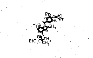 CCOC(=O)C(C)(C)C(=O)Nc1ccc(C)c2c1cc(C)n2Cc1ccc(O[Si](C(C)C)(C(C)C)C(C)C)c(C(C)C)c1